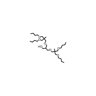 CCCCOCC(C)(COCCCC)COCC(CO)COCC(C)(COCCCC)COCCCC